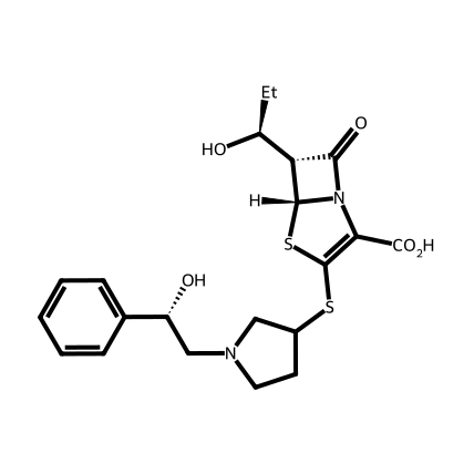 CC[C@H](O)[C@@H]1C(=O)N2C(C(=O)O)=C(SC3CCN(C[C@@H](O)c4ccccc4)C3)S[C@H]12